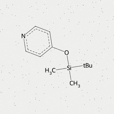 CC(C)(C)[Si](C)(C)Oc1ccncc1